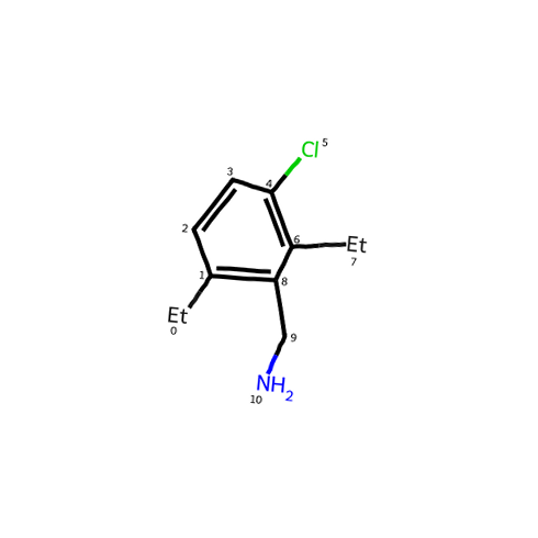 CCc1ccc(Cl)c(CC)c1CN